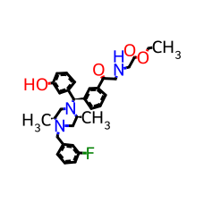 CCOC(=O)CNCC(=O)c1cccc([C@H](c2cccc(O)c2)N2C[C@@H](C)N(Cc3cccc(F)c3)C[C@@H]2C)c1